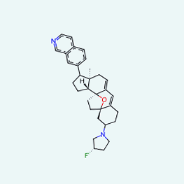 C[C@]12CC=C3C=C4CCC(N5CC[C@H](F)C5)C[C@]45CC[C@]3(O5)[C@@H]1CCC2c1ccc2ccncc2c1